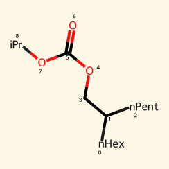 CCCCCCC(CCCCC)COC(=O)OC(C)C